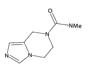 CNC(=O)N1CCn2cncc2C1